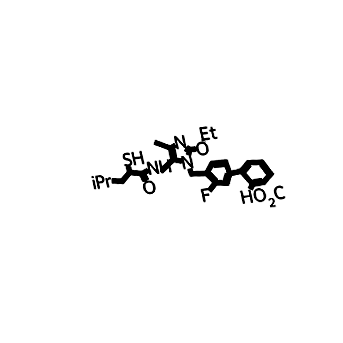 CCOc1nc(C)c(CNC(=O)C(S)CC(C)C)n1Cc1ccc(-c2ccccc2C(=O)O)cc1F